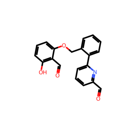 O=Cc1cccc(-c2ccccc2COc2cccc(O)c2C=O)n1